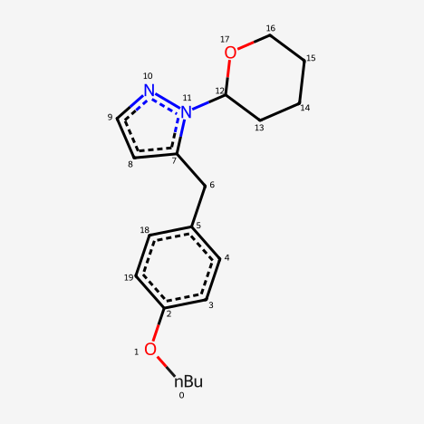 CCCCOc1ccc(Cc2ccnn2C2CCCCO2)cc1